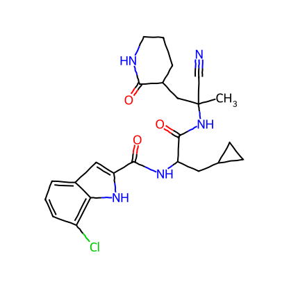 CC(C#N)(CC1CCCNC1=O)NC(=O)C(CC1CC1)NC(=O)c1cc2cccc(Cl)c2[nH]1